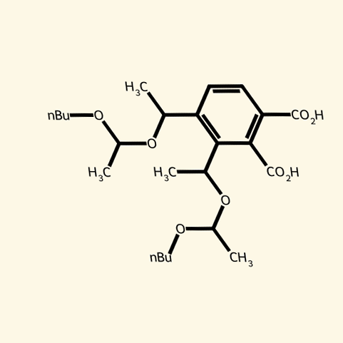 CCCCOC(C)OC(C)c1ccc(C(=O)O)c(C(=O)O)c1C(C)OC(C)OCCCC